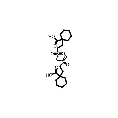 O=C(O)C1(CCS(=O)(=O)OS(=O)(=O)CCC2(C(=O)O)CCCCC2)CCCCC1